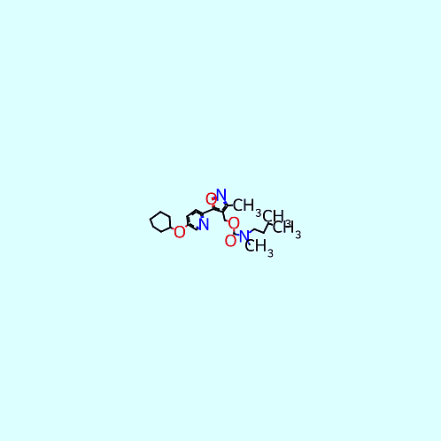 Cc1noc(-c2ccc(OC3CCCCC3)cn2)c1COC(=O)N(C)CCC(C)C